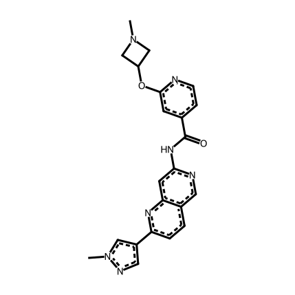 CN1CC(Oc2cc(C(=O)Nc3cc4nc(-c5cnn(C)c5)ccc4cn3)ccn2)C1